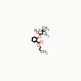 CCCOC(=O)c1ccccc1OC(=O)CC(C)(C)C